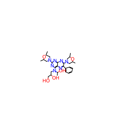 CC1CN(c2nc(N(CC(O)CO)C(C)O)c3nc(-c4ccccc4)c(N4CC(C)OC(C)C4)nc3n2)CC(C)O1